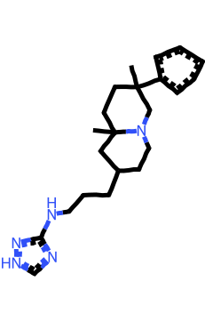 CC1(c2ccccc2)CCC2(C)CC(CCCNc3nc[nH]n3)CCN2C1